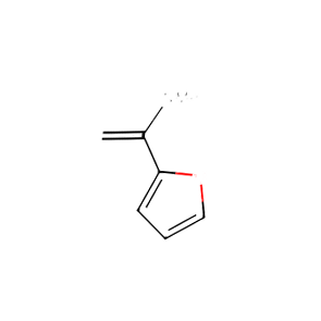 C=C(NC)c1ccco1